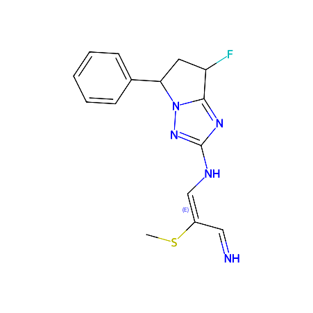 CS/C(C=N)=C/Nc1nc2n(n1)C(c1ccccc1)CC2F